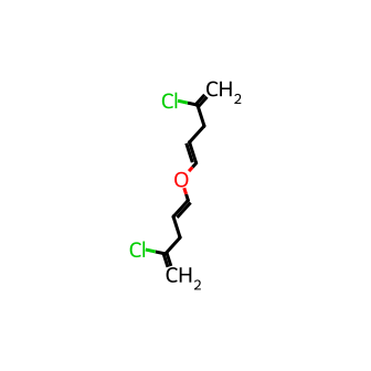 C=C(Cl)CC=COC=CCC(=C)Cl